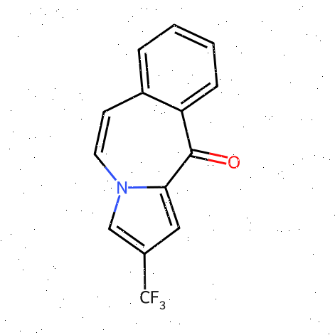 O=c1c2ccccc2ccn2cc(C(F)(F)F)cc12